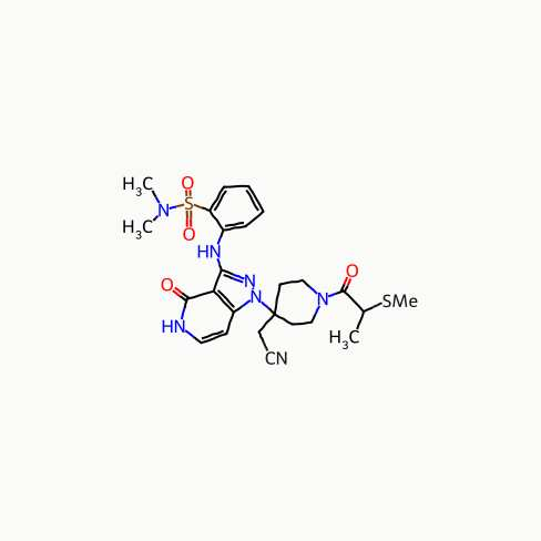 CSC(C)C(=O)N1CCC(CC#N)(n2nc(Nc3ccccc3S(=O)(=O)N(C)C)c3c(=O)[nH]ccc32)CC1